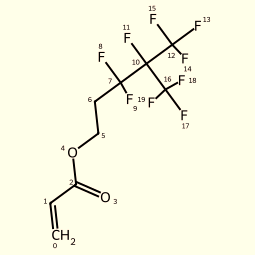 C=CC(=O)OCCC(F)(F)C(F)(C(F)(F)F)C(F)(F)F